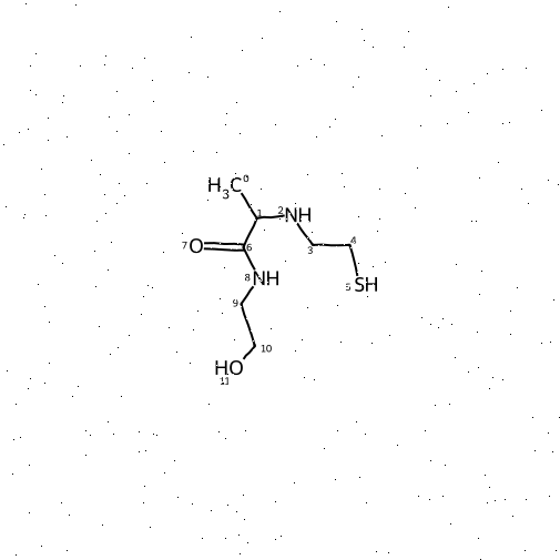 CC(NCCS)C(=O)NCCO